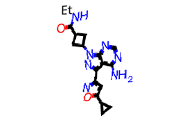 CCNC(=O)C1CC(n2nc(-c3cc(C4CC4)on3)c3c(N)ncnc32)C1